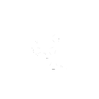 CNc1cc(-n2cc(-c3cccc(N)c3)c3ccc(-c4ccc(OC)cc4)cc32)ncn1